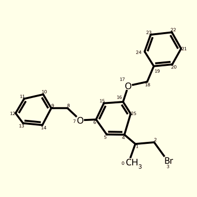 CC(CBr)c1cc(OCc2ccccc2)cc(OCc2ccccc2)c1